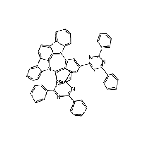 c1ccc(-c2nc(-c3ccccc3)nc(-c3cc(-c4nc(-c5ccccc5)nc(-c5ccccc5)n4)cc(-n4c5ccccc5c5ccc6c7ccccc7n(-c7ccccc7)c6c54)c3)n2)cc1